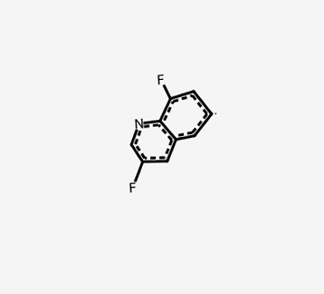 Fc1cnc2c(F)c[c]cc2c1